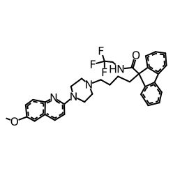 COc1ccc2nc(N3CCN(CCCCC4(C(=O)NCC(F)(F)F)c5ccccc5-c5ccccc54)CC3)ccc2c1